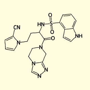 N#Cc1cccn1CCC(NS(=O)(=O)c1cccc2[nH]ccc12)C(=O)N1CCn2cnnc2C1